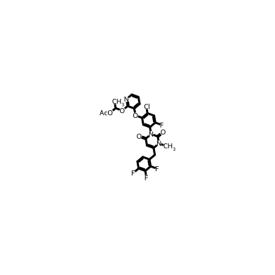 CC(=O)OC(C)Oc1ncccc1Oc1cc(-n2c(=O)cc(Cc3ccc(F)c(F)c3F)n(C)c2=O)c(F)cc1Cl